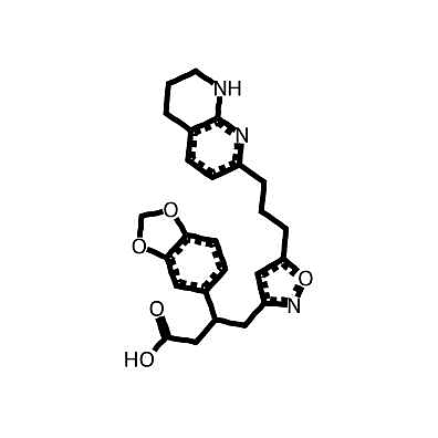 O=C(O)CC(Cc1cc(CCCc2ccc3c(n2)NCCC3)on1)c1ccc2c(c1)OCO2